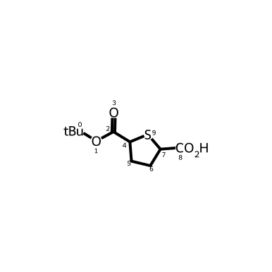 CC(C)(C)OC(=O)C1CCC(C(=O)O)S1